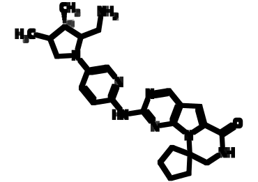 CC1CN(c2ccc(Nc3ncc4cc5n(c4n3)C3(CCCC3)CNC5=O)nc2)C(CN)[C@H]1C